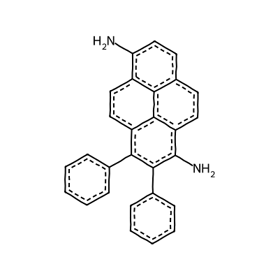 Nc1ccc2ccc3c(N)c(-c4ccccc4)c(-c4ccccc4)c4ccc1c2c34